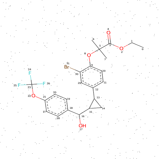 CCOC(=O)C(C)(C)Oc1ccc(C2CC2C(O)c2ccc(OC(F)(F)F)cc2)cc1Br